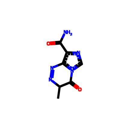 CC1N=Nc2c(C(N)=O)ncn2C1=O